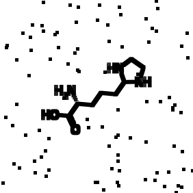 N[C@H](CCCC1NCCN1)C(=O)O